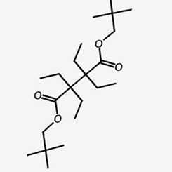 CCC(CC)(C(=O)OCC(C)(C)C)C(CC)(CC)C(=O)OCC(C)(C)C